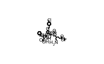 CC(C)(C)OC(=O)CCC(CCN)CC[C@@H](NS(C)(=O)=O)C(=O)N1C[C@H](OCc2ccc(Cl)cc2)C[C@H]1C(=O)N[C@@H](Cc1ccccc1)C(O)C(=O)O